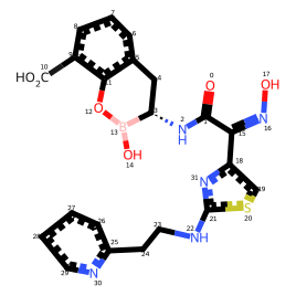 O=C(N[C@H]1Cc2cccc(C(=O)O)c2OB1O)/C(=N\O)c1csc(NCCc2ccccn2)n1